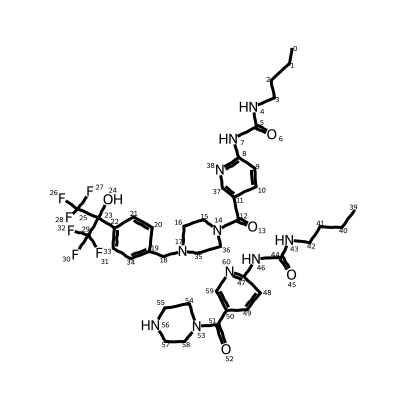 CCCCNC(=O)Nc1ccc(C(=O)N2CCN(Cc3ccc(C(O)(C(F)(F)F)C(F)(F)F)cc3)CC2)cn1.CCCCNC(=O)Nc1ccc(C(=O)N2CCNCC2)cn1